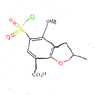 COc1c(S(=O)(=O)Cl)cc(C(=O)O)c2c1CC(C)O2